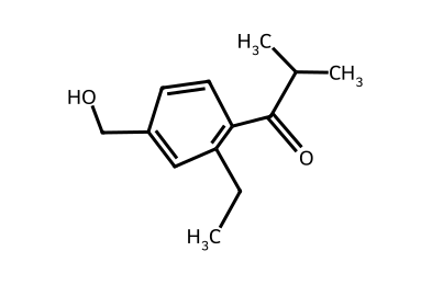 CCc1cc(CO)ccc1C(=O)C(C)C